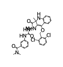 CNC1=C(OCc2c(Cl)cccc2Cl)c2ccccc2NC1(C)C(=O)CNC(=O)Nc1cccc(C(=O)N(C)C)c1